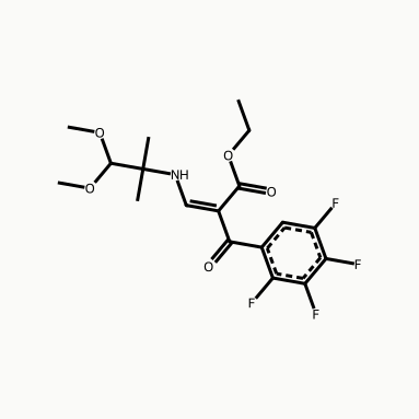 CCOC(=O)C(=CNC(C)(C)C(OC)OC)C(=O)c1cc(F)c(F)c(F)c1F